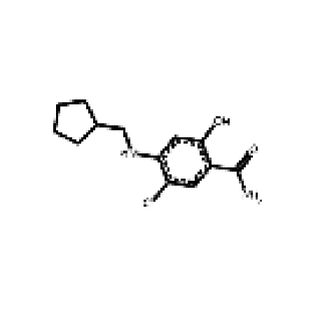 NC(=O)c1cc(Cl)c(NCC2CCCC2)cc1O